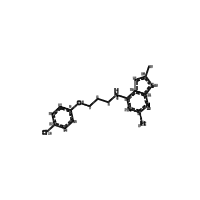 CCc1nc(NCCCOc2ccc(Cl)cc2)c2cc(C)sc2n1